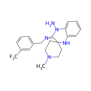 CN1CCC2(CC1)Nc1ccccc1N(N)/C2=N/Cc1cccc(C(F)(F)F)c1